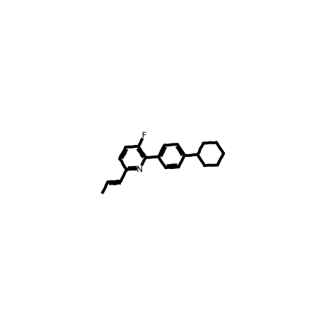 C/C=C/c1ccc(F)c(-c2ccc(C3CCCCC3)cc2)n1